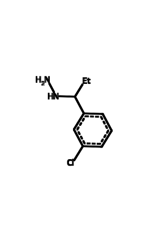 CCC(NN)c1cccc(Cl)c1